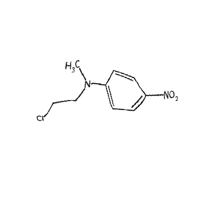 CN(CCCl)c1ccc([N+](=O)[O-])cc1